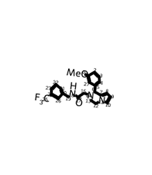 COc1cccc(C2c3cccn3CCN2CC(=O)NCc2cccc(C(F)(F)F)c2)c1